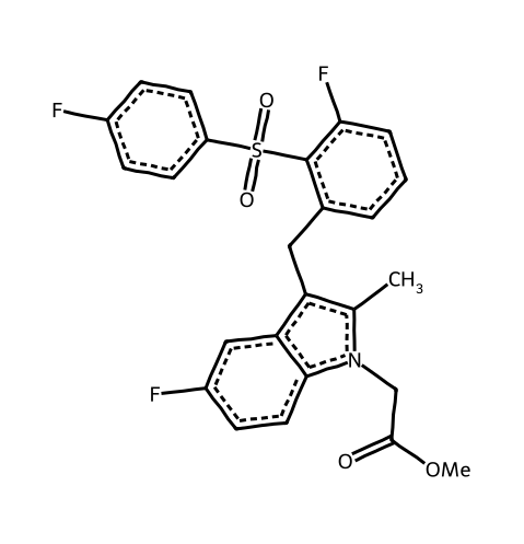 COC(=O)Cn1c(C)c(Cc2cccc(F)c2S(=O)(=O)c2ccc(F)cc2)c2cc(F)ccc21